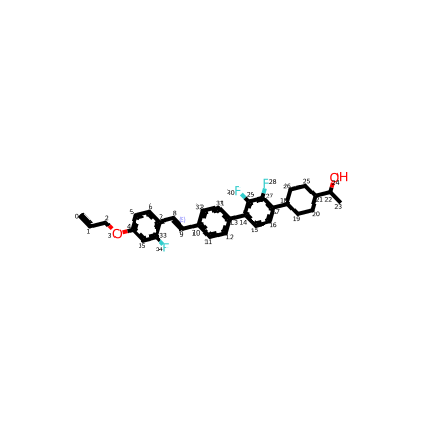 C=CCOc1ccc(/C=C/c2ccc(-c3ccc(C4CCC(C(C)O)CC4)c(F)c3F)cc2)c(F)c1